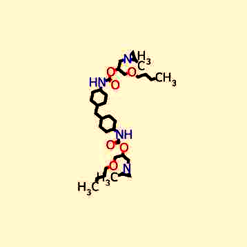 CCCCOCC(CN1CC1C)OC(=O)NC1CCC(CC2CCC(NC(=O)OC(COCCCC)CN3CC3C)CC2)CC1